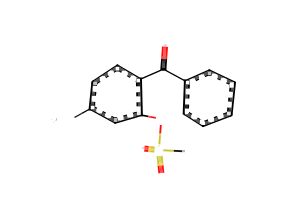 COc1ccc(C(=O)c2ccccc2)c(OS(=O)(=O)C(F)(F)F)c1